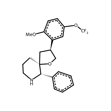 COc1ccc(OC(F)(F)F)cc1[C@H]1CO[C@]2(CCCN[C@H]2c2ccccc2)C1